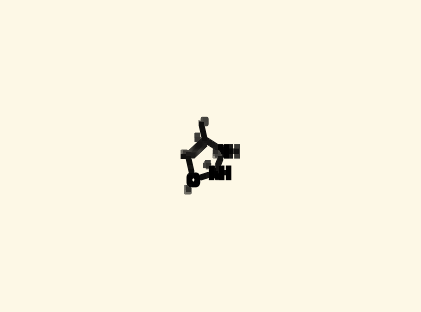 CC1=CONN1